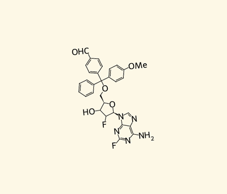 COc1ccc(C(OC[C@H]2O[C@@H](n3cnc4c(N)nc(F)nc43)C(F)C2O)(c2ccccc2)c2ccc(C=O)cc2)cc1